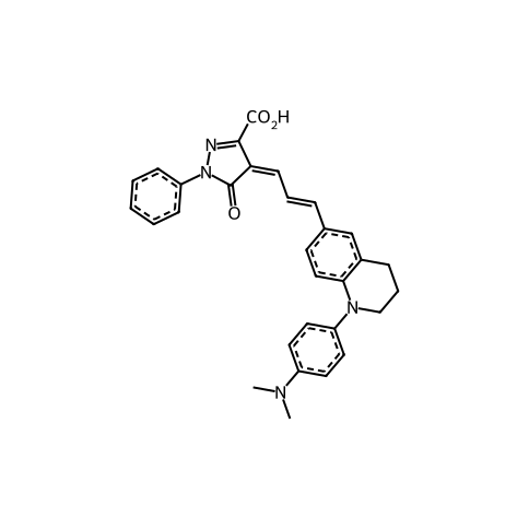 CN(C)c1ccc(N2CCCc3cc(/C=C/C=C4\C(=O)N(c5ccccc5)N=C4C(=O)O)ccc32)cc1